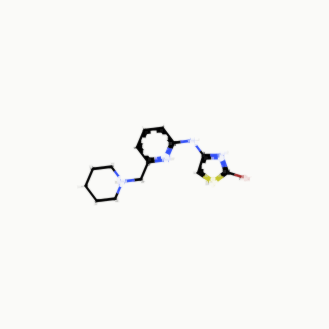 Brc1nc([N]c2cccc(CN3CCCCC3)n2)cs1